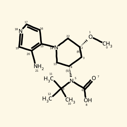 CO[C@@H]1C[C@H](N(C(=O)O)C(C)(C)C)CN(c2ccncc2N)C1